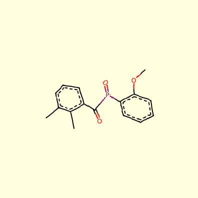 COc1ccccc1[P](=O)C(=O)c1cccc(C)c1C